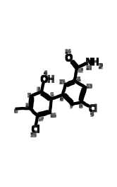 Cc1cc(O)c(-c2cc(Cl)cc(C(N)=O)c2)cc1Cl